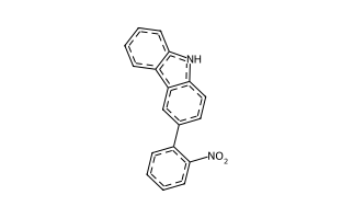 O=[N+]([O-])c1ccccc1-c1ccc2[nH]c3ccccc3c2c1